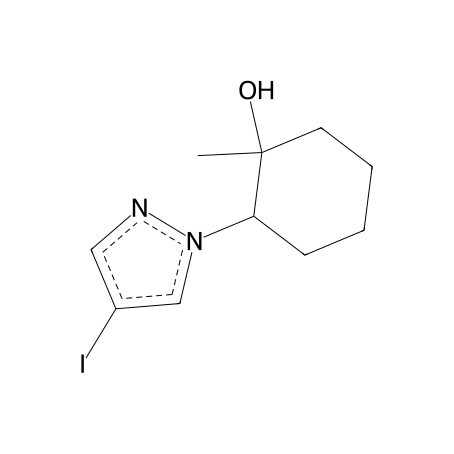 CC1(O)CCCCC1n1cc(I)cn1